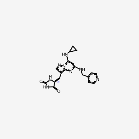 O=C1NC(=O)/C(=C/c2cnn3c(NC4CC4)cc(NCc4ccncc4)nc23)N1